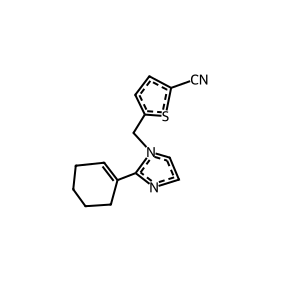 N#Cc1ccc(Cn2ccnc2C2=CCCCC2)s1